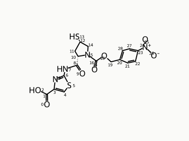 O=C(O)c1csc(NC(=O)[C@@H]2C[C@H](S)CN2C(=O)OCc2ccc([N+](=O)[O-])cc2)n1